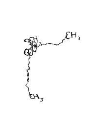 CCCCCCCC#CC#CCCCCCCC(=O)OCC(CSC(C)=O)OC(=O)CCCCCCC#CC#CCCCCCCC